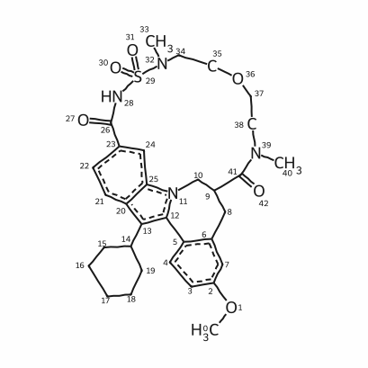 COc1ccc2c(c1)CC1Cn3c-2c(C2CCCCC2)c2ccc(cc23)C(=O)NS(=O)(=O)N(C)CCOCCN(C)C1=O